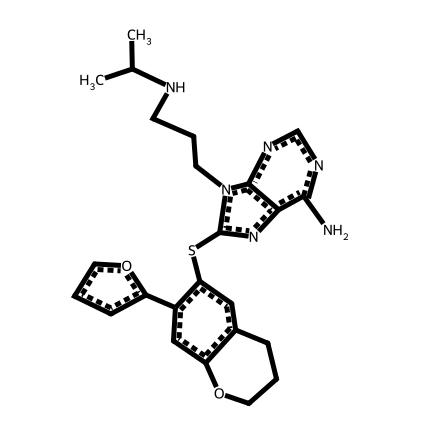 CC(C)NCCCn1c(Sc2cc3c(cc2-c2ccco2)OCCC3)nc2c(N)ncnc21